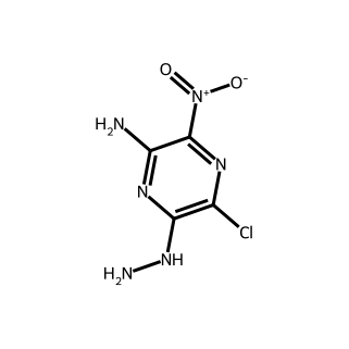 NNc1nc(N)c([N+](=O)[O-])nc1Cl